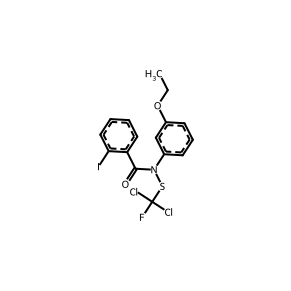 CCOc1cccc(N(SC(F)(Cl)Cl)C(=O)c2ccccc2I)c1